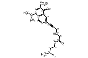 CCOC(=O)c1cn(N(C)C)c2ccc(C#CCNCC(=O)OCCC(C)F)cc2c1=O